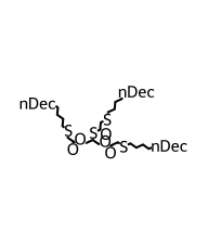 CCCCCCCCCCCCCCSCC(=O)OCC(COC(=O)CSCCCCCCCCCCCCCC)SC(=O)CSCCCCCCCCCCCCCC